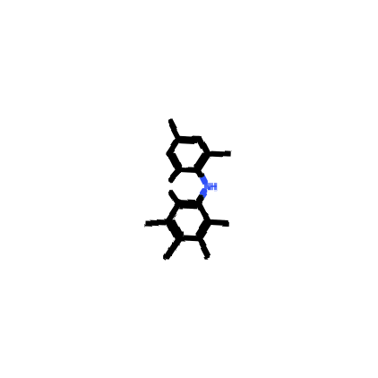 Cc1cc(C)c(Nc2c(C)c(C)c(C)c(C)c2C)c(C)c1